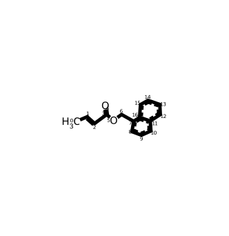 CC=CC(=O)OCc1cccc2ccccc12